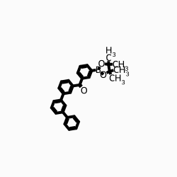 CC1(C)OB(c2cccc(C(=O)c3cccc(-c4cccc(-c5ccccc5)c4)c3)c2)OC1(C)C